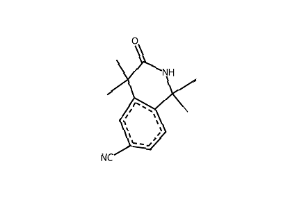 CC1(C)NC(=O)C(C)(C)c2cc(C#N)ccc21